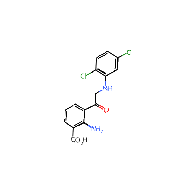 Nc1c(C(=O)O)cccc1C(=O)CNc1cc(Cl)ccc1Cl